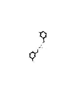 O=[N+](OCc1cccc(O)c1)OCc1cccc(O)c1